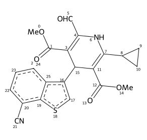 COC(=O)C1=C(C=O)NC(C2CC2)=C(C(=O)OC)C1c1csc2c(C#N)cccc12